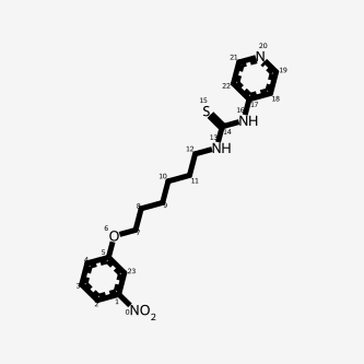 O=[N+]([O-])c1cccc(OCCCCCCNC(=S)Nc2ccncc2)c1